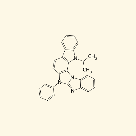 CC(C)n1c2ccccc2c2ccc3c(c21)n1c2ccccc2nc1n3-c1ccccc1